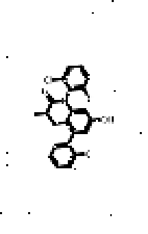 CC1Cc2c(-c3ccccc3Cl)cc(O)cc2N(c2c(Cl)cccc2Cl)C1=O